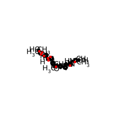 CC(C(=O)C(C)N1CCN(c2cccc3c2ccn3-c2ccnc(NC3CCC(C(C)(C)O)CC3)n2)CC1)N1CCN(c2cccc3c2ccn3-c2ccnc(NC3CCC(C(C)(C)O)CC3)n2)CC1